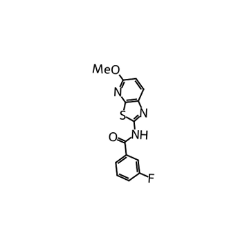 COc1ccc2nc(NC(=O)c3cccc(F)c3)sc2n1